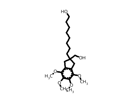 COc1c2c(c(OC)c(OC)c1OC)CC(CO)(CCCCCCCCO)C2